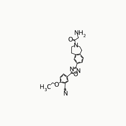 CCOc1ccc(-c2nc(-c3ccc4c(c3)CCN(C(=O)CN)CC4)no2)cc1C#N